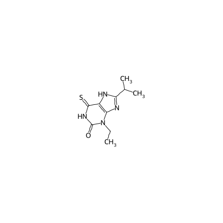 CCn1c(=O)[nH]c(=S)c2[nH]c(C(C)C)nc21